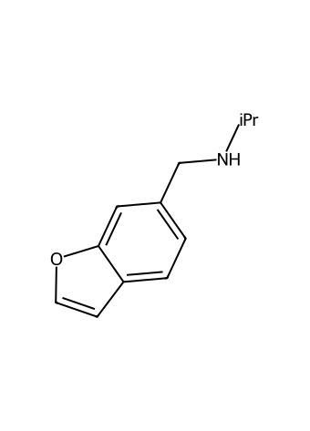 CC(C)NCc1ccc2ccoc2c1